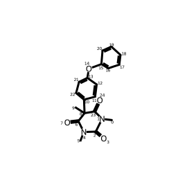 CN1C(=O)N(C)C(=O)C(C)(c2ccc(Oc3ccccc3)cc2)C1=O